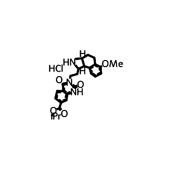 COc1cccc2c1CC[C@H]1CNC(CCn3c(=O)[nH]c4cc(C(=O)OC(C)C)ccc4c3=O)[C@@H]21.Cl